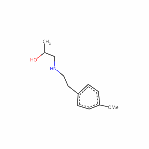 COc1ccc(CCNCC(C)O)cc1